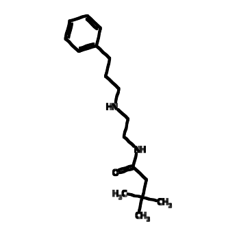 CC(C)(C)CC(=O)NCCNCCCc1ccccc1